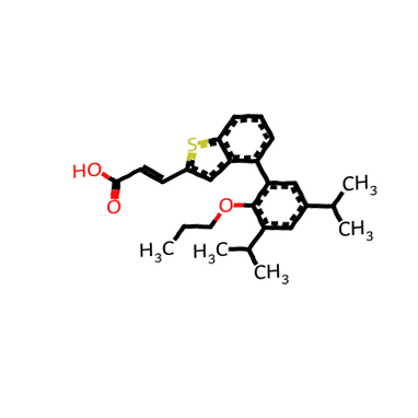 CCCOc1c(-c2cccc3sc(C=CC(=O)O)cc23)cc(C(C)C)cc1C(C)C